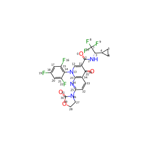 O=C(N[C@@H](C1CC1)C(F)(F)F)c1cn(-c2c(F)cc(F)cc2F)c2nc(N3CCOC3=O)ccc2c1=O